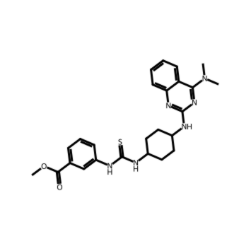 COC(=O)c1cccc(NC(=S)NC2CCC(Nc3nc(N(C)C)c4ccccc4n3)CC2)c1